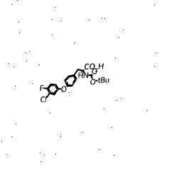 CC(C)(C)OC(=O)N[C@H](Cc1ccc(Oc2ccc(F)c(Cl)c2)cc1)C(=O)O